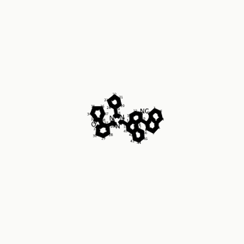 N#Cc1cccc2cccc(-c3cccc4c(-c5nc(-c6ccccc6)nc(-c6cccc7oc8ccccc8c67)n5)cc5ccccc5c34)c12